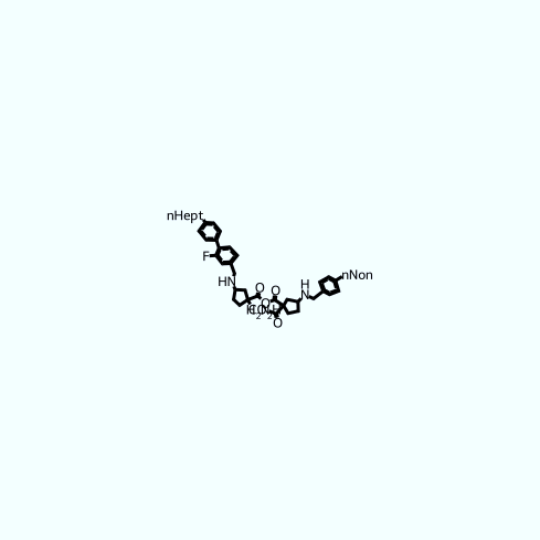 CCCCCCCCCc1ccc(CNC2CCC(C(N)=O)(C(=O)OC(=O)C3(C(=O)O)CCC(NCc4ccc(-c5ccc(CCCCCCC)cc5)c(F)c4)C3)C2)cc1